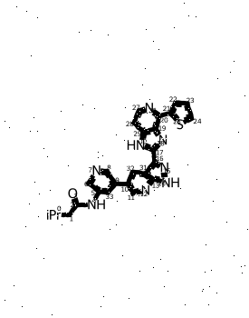 CC(C)CC(=O)Nc1cncc(-c2cnc3[nH]nc(-c4nc5c(-c6cccs6)nccc5[nH]4)c3c2)c1